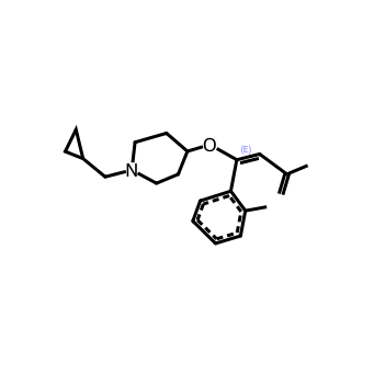 C=C(C)/C=C(/OC1CCN(CC2CC2)CC1)c1ccccc1C